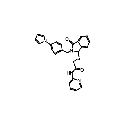 O=C(CSC1c2ccccc2C(=O)N1Cc1ccc(-n2cccc2)cc1)Nc1ccccn1